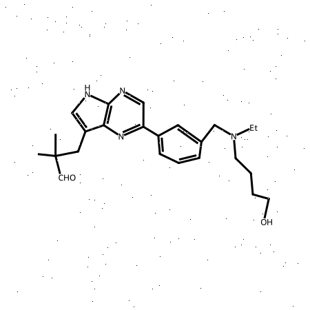 CCN(CCCCO)Cc1cccc(-c2cnc3[nH]cc(CC(C)(C)C=O)c3n2)c1